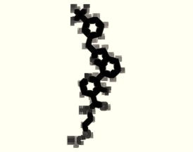 COCCNC(=O)c1ccnc(-c2cccc3cc(Cc4cccc(C(F)(F)F)c4)sc23)c1F